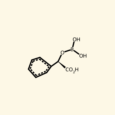 O=C(O)[C@H](OB(O)O)c1ccccc1